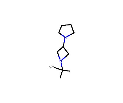 CCCC(C)(C)N1CC(N2CCCC2)C1